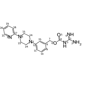 N=C(N)NC(=O)OCc1cccc(N2CCN(c3ccccn3)CC2)c1